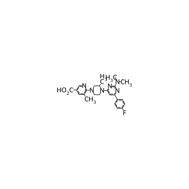 Cc1cc(C(=O)O)cnc1N1CCN(c2cc(-c3ccc(F)cc3)nc(N(C)C)n2)C(C)C1